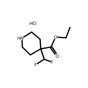 CCOC(=O)C1(C(F)F)CCNCC1.Cl